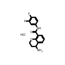 Cl.NC1CCOc2c(C(=O)Nc3ccc(F)c(F)c3)cccc21